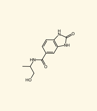 CC(CO)NC(=O)c1ccc2[nH]c(=O)[nH]c2c1